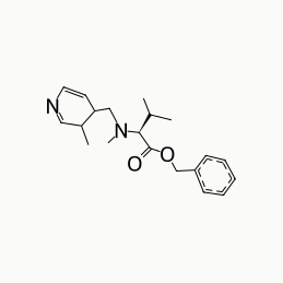 CC1C=NC=CC1CN(C)[C@H](C(=O)OCc1ccccc1)C(C)C